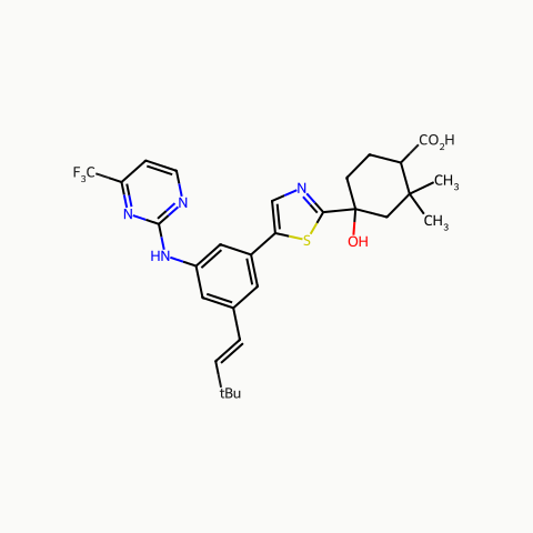 CC(C)(C)C=Cc1cc(Nc2nccc(C(F)(F)F)n2)cc(-c2cnc(C3(O)CCC(C(=O)O)C(C)(C)C3)s2)c1